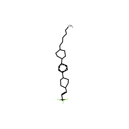 CCCCCCC1CCC(c2ccc(C3CCC(C=CC(F)(F)F)CC3)cc2)CC1